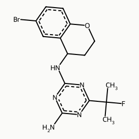 CC(C)(F)c1nc(N)nc(NC2CCOc3ccc(Br)cc32)n1